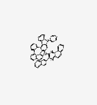 c1ccc(-n2c3ccccc3c3c4c5c6c7c(cccc7ccc6n(-c6nc7c(ccc8ccccc87)nc6-c6ccc7ccccc7c6)c5cc32)-c2ccccc2-4)cc1